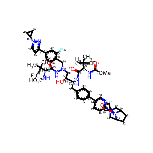 COC(=O)N[C@H](C(=O)N[C@@H](Cc1ccc(-c2ccc(N3CC4CCC(C3)N4C3COC3)nc2)cc1)[C@@H](O)CN(Cc1c(F)cc(-c2ccn(C3CC3)n2)cc1F)NC(=O)[C@@H](NC(=O)O)C(C)(C)C(F)(F)F)C(C)(C)C(F)(F)F